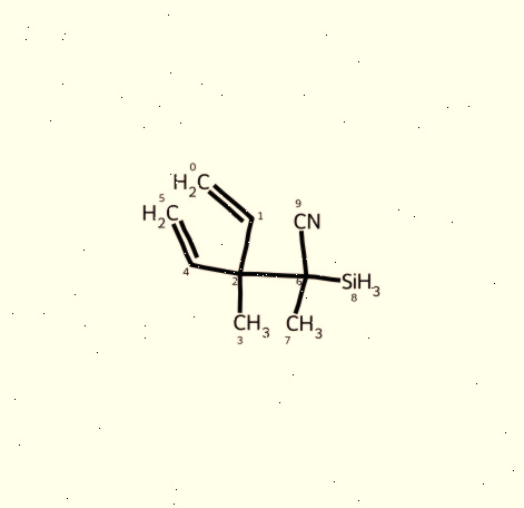 C=CC(C)(C=C)C(C)([SiH3])C#N